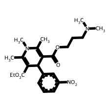 CCOC(=O)C1=C(C)N(C)C(C)=C(C(=O)OCCCN(C)C)C1c1cccc([N+](=O)[O-])c1